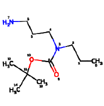 CCCN(CCCN)C(=O)OC(C)(C)C